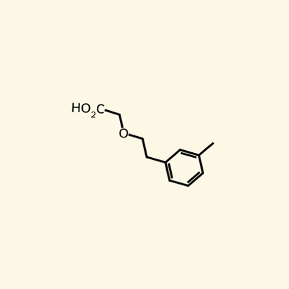 Cc1cccc(CCOCC(=O)O)c1